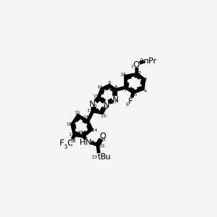 CCCOc1ccc(F)c(-c2ccc3nc(-c4ccc(C(F)(F)F)c(NC(=O)C(C)(C)C)c4)cn3n2)c1